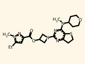 CCc1cc(C(=O)OC2CN(c3nc4c(c(N(C)C5CCOCC5)n3)SCC4)C2)nn1C